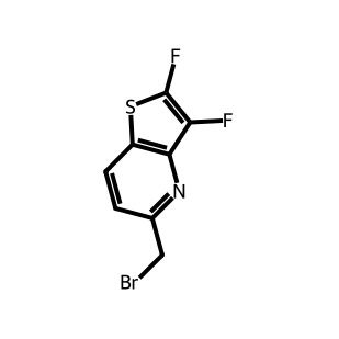 Fc1sc2ccc(CBr)nc2c1F